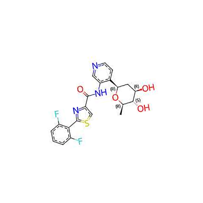 C[C@H]1O[C@@H](c2ccncc2NC(=O)c2csc(-c3c(F)cccc3F)n2)C[C@@H](O)[C@@H]1O